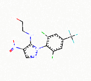 O=[N+]([O-])c1cnn(-c2c(Cl)cc(C(F)(F)F)cc2Cl)c1NCCO